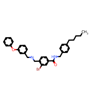 CCCCCc1ccc(CNC(=O)c2ccc(C[N]Cc3cccc(Oc4ccccc4)c3)c(Br)c2)cc1